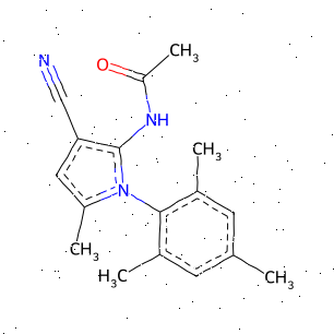 CC(=O)Nc1c(C#N)cc(C)n1-c1c(C)cc(C)cc1C